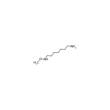 CONCCCCCCCN